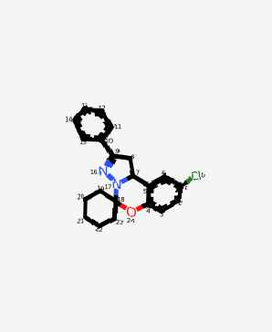 Clc1ccc2c(c1)C1CC(c3ccccc3)=NN1C1(CCCCC1)O2